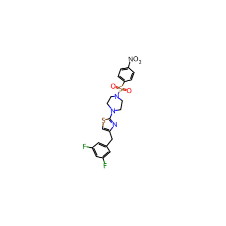 O=[N+]([O-])c1ccc(S(=O)(=O)N2CCN(c3nc(Cc4cc(F)cc(F)c4)cs3)CC2)cc1